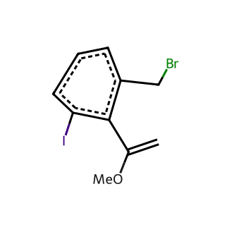 C=C(OC)c1c(I)cccc1CBr